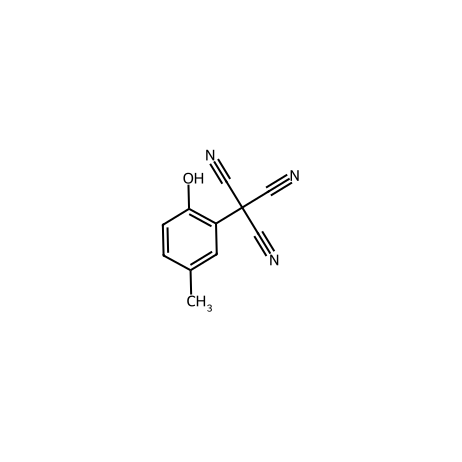 Cc1ccc(O)c(C(C#N)(C#N)C#N)c1